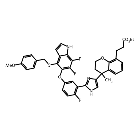 CCOC(=O)CCc1cccc2c1OCCC2(C)c1c[nH]c(-c2cc(Oc3c(F)c(F)c4[nH]ccc4c3SCc3ccc(OC)cc3)ccc2F)n1